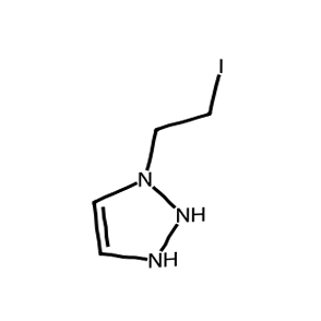 ICCN1C=CNN1